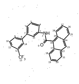 O=C(Nc1cccc(-c2cccc(C(F)(F)F)c2)c1)c1c2ccccc2cc2ccccc12